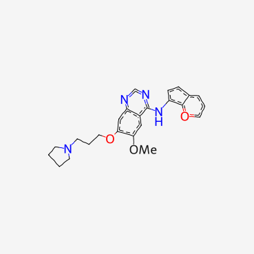 COc1cc2c(Nc3ccc4cccoc3-4)ncnc2cc1OCCCN1CCCC1